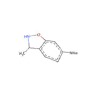 CNc1ccc2c(c1)ONC2C